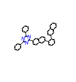 c1ccc(-c2nc(-c3ccccc3)nc(-c3ccc4cc(-c5ccccc5-c5ccc6ccccc6c5)ccc4c3)n2)cc1